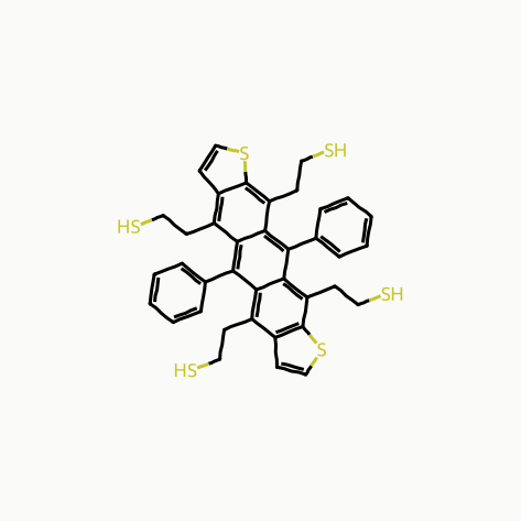 SCCc1c2ccsc2c(CCS)c2c(-c3ccccc3)c3c(CCS)c4sccc4c(CCS)c3c(-c3ccccc3)c12